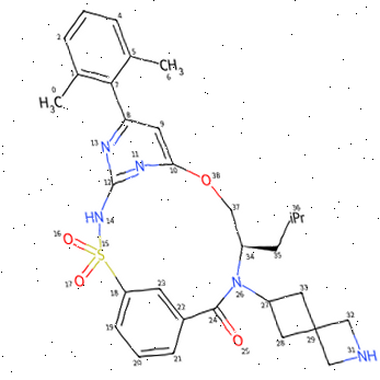 Cc1cccc(C)c1-c1cc2nc(n1)NS(=O)(=O)c1cccc(c1)C(=O)N(C1CC3(CNC3)C1)[C@H](CC(C)C)CO2